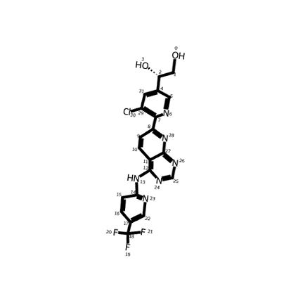 OC[C@@H](O)c1cnc(-c2ccc3c(Nc4ccc(C(F)(F)F)cn4)ncnc3n2)c(Cl)c1